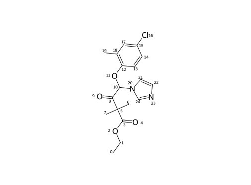 CCOC(=O)C(C)(C)C(=O)C(Oc1ccc(Cl)cc1C)n1ccnc1